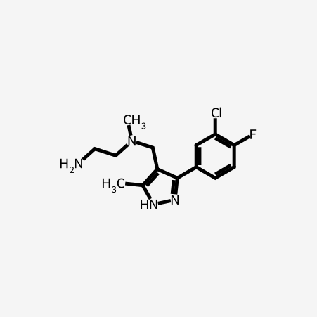 Cc1[nH]nc(-c2ccc(F)c(Cl)c2)c1CN(C)CCN